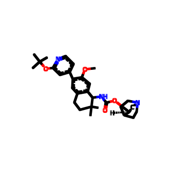 COc1cc2c(cc1-c1ccnc(OC(C)(C)C)c1)CCC(C)(C)C2NC(=O)O[C@H]1CN2CCC1CC2